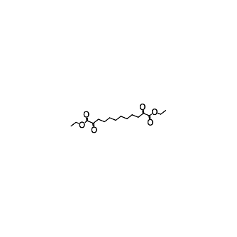 CCOC(=O)C(=O)CCCCCCCCC(=O)C(=O)OCC